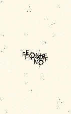 N#Cc1nc(C(F)(F)F)ccc1NS(=O)(=O)c1ccccc1C(F)(F)F